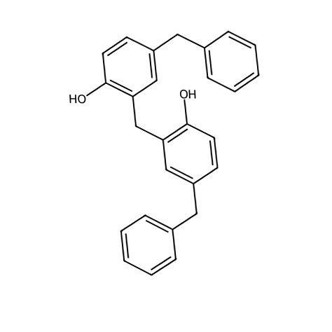 Oc1ccc(Cc2ccccc2)cc1Cc1cc(Cc2ccccc2)ccc1O